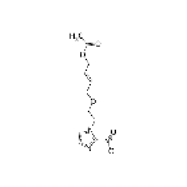 CC(=O)OCC=CCOCCn1ccnc1[N+](=O)[O-]